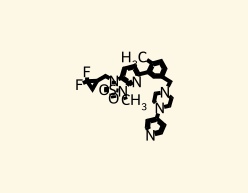 Cc1ccc(CN2CCN(c3ccncc3)CC2)cc1-c1ccc2c(n1)N(C)S(=O)(=O)N2CC1CC1(F)F